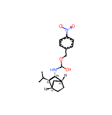 CC(C)[C@@H]1[C@H]2CC[C@H](C2)[C@H]1NC(O)OCc1ccc([N+](=O)[O-])cc1